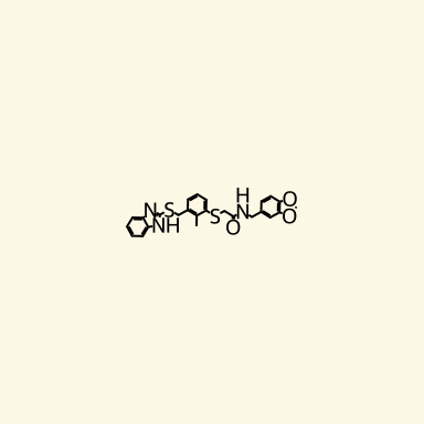 Cc1c(CSc2nc3ccccc3[nH]2)cccc1SCC(=O)NCc1ccc2c(c1)OCO2